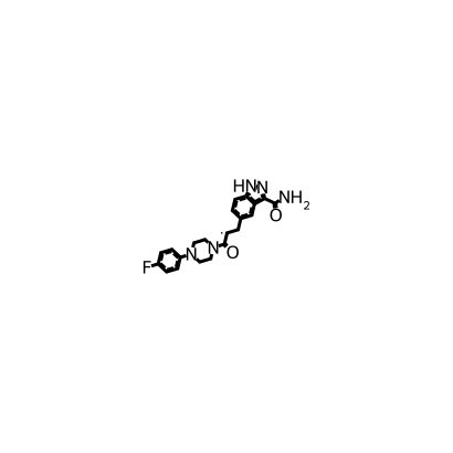 NC(=O)c1n[nH]c2ccc(C[CH]C(=O)N3CCN(c4ccc(F)cc4)CC3)cc12